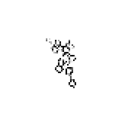 CC1(C)c2ccccc2-c2c1ccc1c2oc2c(N(c3ccc(-c4ccccc4)cc3)c3cccc4ccccc34)cccc21